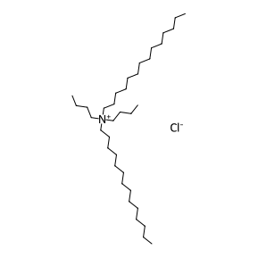 CCCCCCCCCCCCCC[N+](CCCC)(CCCC)CCCCCCCCCCCCCC.[Cl-]